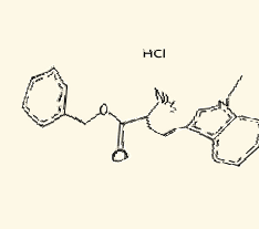 Cl.Cn1cc(CC(N)C(=O)OCc2ccccc2)c2ccccc21